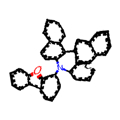 c1ccc(N(c2ccc3ccccc3c2-c2ccc3ccccc3c2)c2cccc3c2oc2ccccc23)cc1